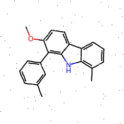 COc1ccc2c([nH]c3c(C)cccc32)c1-c1cccc(C)c1